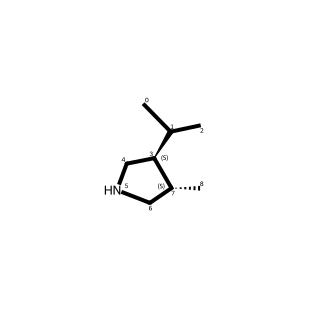 CC(C)[C@@H]1CNC[C@H]1C